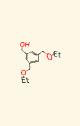 CCOCc1cc(CO)cc(COCC)c1